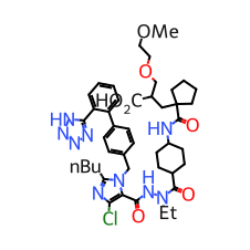 CCCCc1nc(Cl)c(C(=O)NN(CC)C(=O)C2CCC(NC(=O)C3(CC(COCCOC)C(=O)O)CCCC3)CC2)n1Cc1ccc(-c2ccccc2-c2nnn[nH]2)cc1